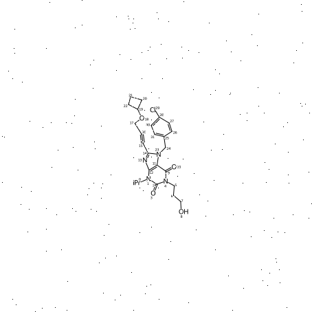 CC(C)n1c(=O)n(CCCO)c(=O)c2c1nc(C#CCOC1CCC1)n2Cc1ccc(Cl)cc1